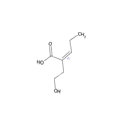 CC/C=C(/CCO)C(=O)O